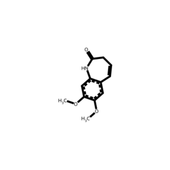 COc1cc2c(cc1OC)NC(=O)CC=C2